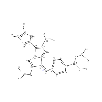 CCN(CC(C)C)c1ccc(/N=C2/C(CC(C)C)=Nn3c2nc(C(C)C)c3-c2nc(C)c(C)[nH]2)nc1